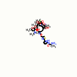 CCC(=O)/N=C1\[C@H](C)C[C@@]2(C)OC/C(=N/OCc3csc(-c4cccc(NC(=O)[C@H](C)N)n4)n3)CC[C@H]([C@H]1C)[C@](C)(O)[C@@H](I)OC(=O)[C@@](C)(F)C(=O)[C@H](C)[C@H]2O[C@@H]1O[C@H](C)C[C@H](N(C)C)[C@H]1O